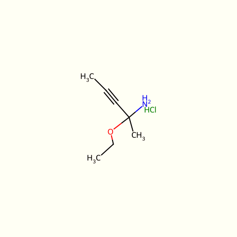 CC#CC(C)(N)OCC.Cl